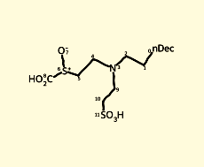 CCCCCCCCCCCCN(CC[S+]([O-])C(=O)O)CCS(=O)(=O)O